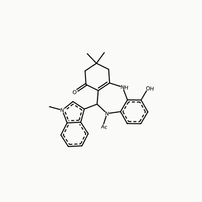 CC(=O)N1c2cccc(O)c2NC2=C(C(=O)CC(C)(C)C2)C1c1cn(C)c2ccccc12